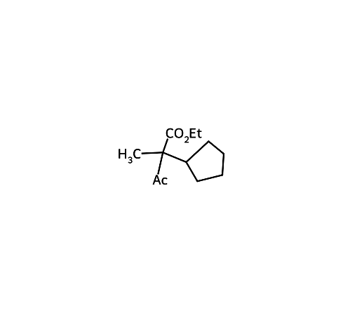 CCOC(=O)C(C)(C(C)=O)C1CCCC1